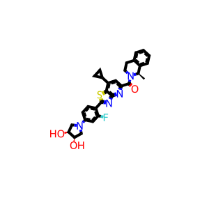 C[C@@H]1c2ccccc2CCN1C(=O)c1cc(C2CC2)c2sc(-c3ccc(N4C[C@H](O)[C@@H](O)C4)cc3F)nc2n1